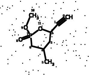 C#CC1CC(C)CP(=O)(OC)O1